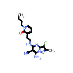 CCCCn1cccc(CCNc2nc3c(Cl)c(C)nn3c(N)c2C#N)c1=O